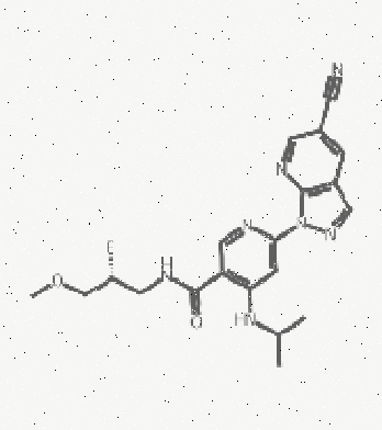 COC[C@H](F)CNC(=O)c1cnc(-n2ncc3cc(C#N)cnc32)cc1NC(C)C